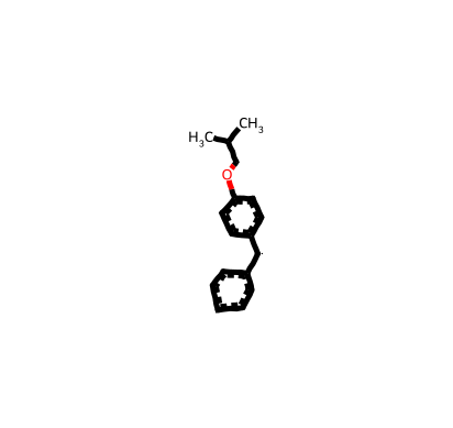 CC(C)COc1ccc([CH]c2ccccc2)cc1